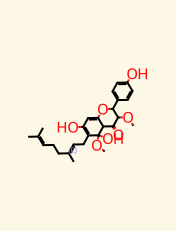 COC1C(=O)C2C(=CC(O)=C(C/C=C(\C)CCC=C(C)C)C2(O)OC)OC1c1ccc(O)cc1